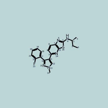 CC[C@H](C)Nc1nc2ccc(-c3cn(C)nc3-c3ccccc3F)nc2s1